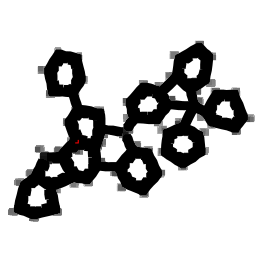 c1ccc(-c2cccc(N(c3ccc4c(c3)C(c3ccccc3)(c3ccccc3)c3ccccc3-4)c3ccccc3-c3ccc4oc5ccccc5c4c3)c2)cc1